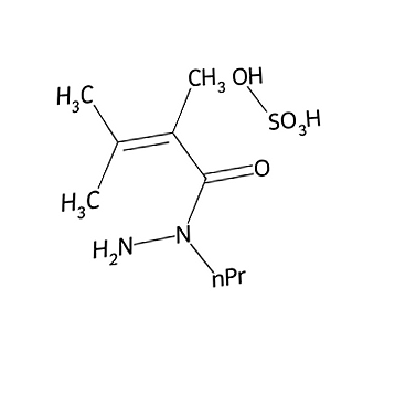 CCCN(N)C(=O)C(C)=C(C)C.O=S(=O)(O)O